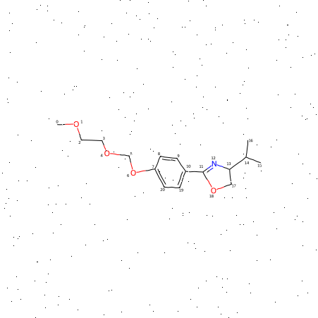 COCCOCOc1ccc(C2=NC(C(C)C)CO2)cc1